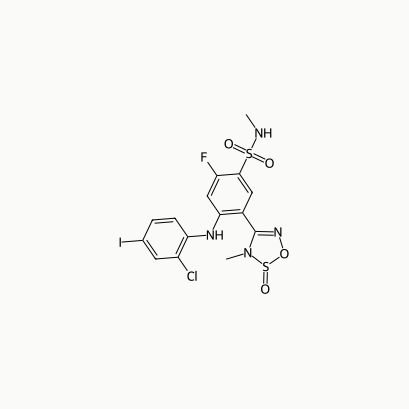 CNS(=O)(=O)c1cc(C2=NOS(=O)N2C)c(Nc2ccc(I)cc2Cl)cc1F